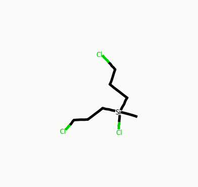 C[Si](Cl)(CCCCl)CCCCl